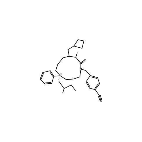 CCC(C)C[C@]1(c2ccccc2)CCCC(CC2CCC2)C(C)C(=O)N(Cc2ccc(C#N)cc2)CCC1